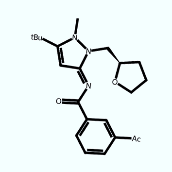 CC(=O)c1cccc(C(=O)N=c2cc(C(C)(C)C)n(C)n2C[C@H]2CCCO2)c1